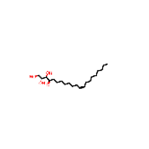 CCCCCCCC/C=C\CCCCCCCC(=O)C(O)[C@H](O)CO